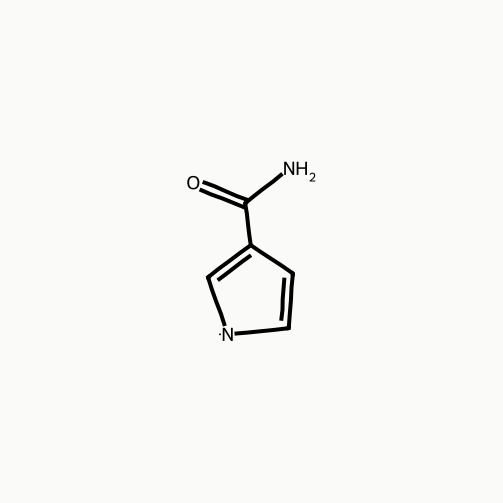 NC(=O)C1=C[N]C=C1